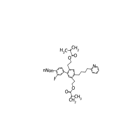 C=C(C)C(=O)OCCc1cc(-c2ccc(CCCCCCCCC)c(F)c2)c(CCOC(=O)C(=C)C)cc1CCCCc1ccccn1